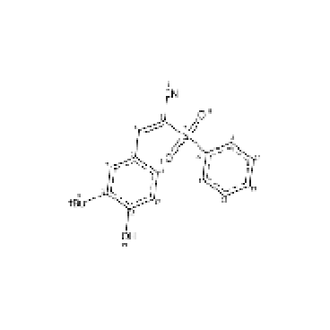 CC(C)(C)c1cc(C=C(C#N)S(=O)(=O)c2ccccc2)ccc1O